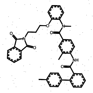 Cc1ccc(-c2ccccc2C(=O)Nc2ccc(C(=O)N(C)c3ccccc3OCCCN3C(=O)c4ccccc4C3=O)cc2C)cc1